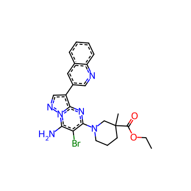 CCOC(=O)C1(C)CCCN(c2nc3c(-c4cnc5ccccc5c4)cnn3c(N)c2Br)C1